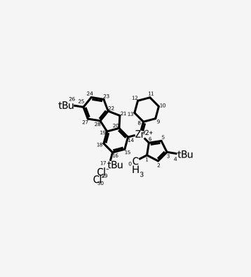 CC1C=C(C(C)(C)C)C=[C]1[Zr+2](=[C]1CCCCC1)[c]1cc(C(C)(C)C)cc2c1Cc1ccc(C(C)(C)C)cc1-2.[Cl-].[Cl-]